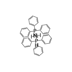 [I][Ni]([I])([PH](c1ccccc1)(c1ccccc1)c1ccccc1)[PH](c1ccccc1)(c1ccccc1)c1ccccc1